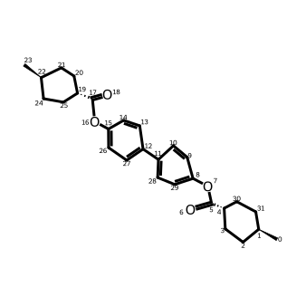 C[C@H]1CC[C@H](C(=O)Oc2ccc(-c3ccc(OC(=O)[C@H]4CC[C@H](C)CC4)cc3)cc2)CC1